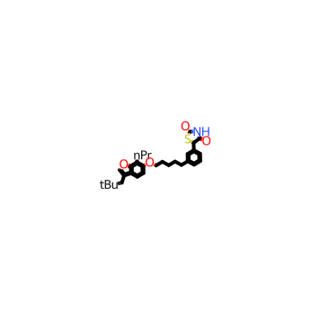 CCCc1c(OCCCCCc2cccc(C3SC(=O)NC3=O)c2)ccc2c(CC(C)(C)C)coc12